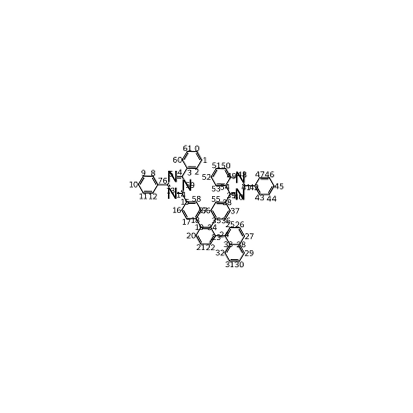 c1ccc(-c2nc(-c3ccccc3)nc(-c3ccc(-c4cccc(-c5cccc6ccccc56)c4-c4ccc(-c5nc(-c6ccccc6)nc6ccccc56)cc4)cc3)n2)cc1